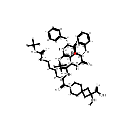 CNC1(C(=O)O)CC2(CCN(C(=O)[C@@H](CCCCNC(=O)OC(C)(C)C)NC(=O)[C@@H](CC(C)C)NC(=O)[C@@H](Cc3ccccc3)NC(=O)[C@@H](Cc3ccccc3)NC(=O)OC(C)(C)C)CC2)C1